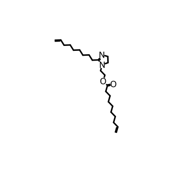 C=CCCCCCCCC(=O)OCCN1CCN=C1CCCCCCCC=C